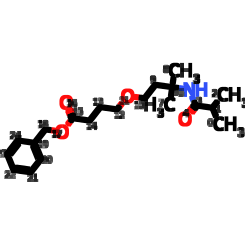 CC(C)C(=O)NC(C)(C)CCOCCCC(=O)OCc1ccccc1